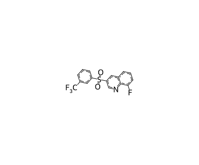 O=S(=O)(c1cccc(C(F)(F)F)c1)c1cnc2c(F)cccc2c1